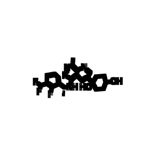 Cc1nnc(N[C@H](C)c2cccc(C(F)F)c2F)c2cc(C3(O)CCC(O)CC3)cnc12